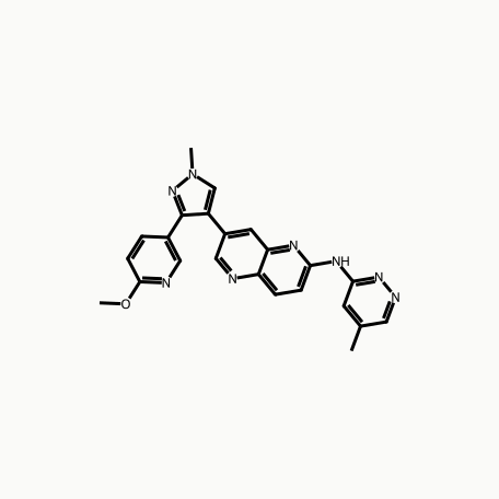 COc1ccc(-c2nn(C)cc2-c2cnc3ccc(Nc4cc(C)cnn4)nc3c2)cn1